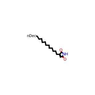 CCCCCCCCCCCCCCCCCCCCCCC1=CC(=O)NC1=O